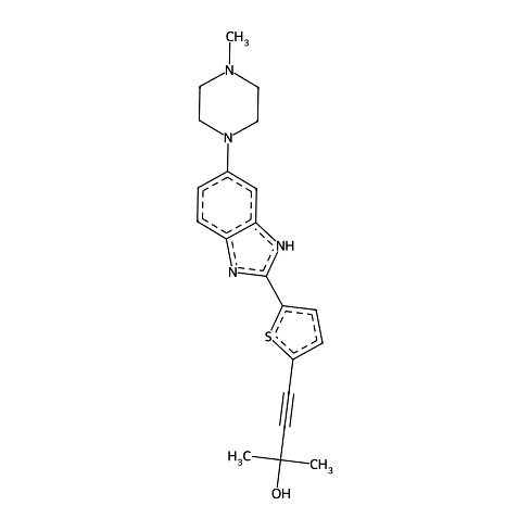 CN1CCN(c2ccc3nc(-c4ccc(C#CC(C)(C)O)s4)[nH]c3c2)CC1